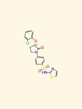 O=C1[C@@H](Oc2ccccc2Cl)CCN1c1ccc(S(=O)(=O)Nc2nccs2)cc1